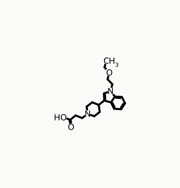 CCOCCn1cc(C2CCN(CCC(=O)O)CC2)c2ccccc21